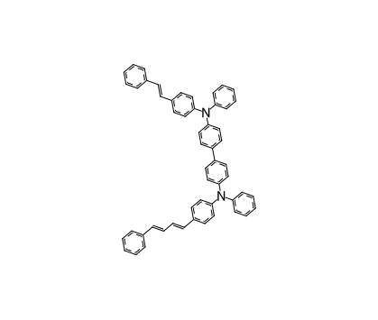 C(C=Cc1ccc(N(c2ccccc2)c2ccc(-c3ccc(N(c4ccccc4)c4ccc(C=Cc5ccccc5)cc4)cc3)cc2)cc1)=Cc1ccccc1